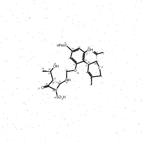 C=C(C)[C@@H]1CCC(C)=C[C@H]1c1c(O)cc(CCCCC)cc1OCNC1[C@@H]([C@@H](C)O)C(=O)N1S(=O)(=O)O